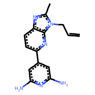 C=CCn1c(C)nc2ccc(-c3cc(N)nc(N)c3)nc21